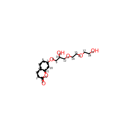 O=c1ccc2ccc(OCC(O)COCCOCCO)cc2o1